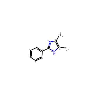 FC(F)(F)c1nc(-c2ccccc2)[nH]c1C(F)(F)F